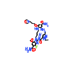 CCn1nc(C)cc1C(=O)Nc1nc2c(F)c(C(N)=O)cc(OC)c2n1C/C=C/CNc1c(N)cc(C(N)=O)cc1OCCCN1CCOCC1